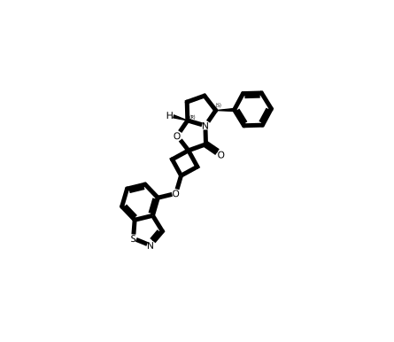 O=C1N2[C@@H](CC[C@H]2c2ccccc2)OC12CC(Oc1cccc3sncc13)C2